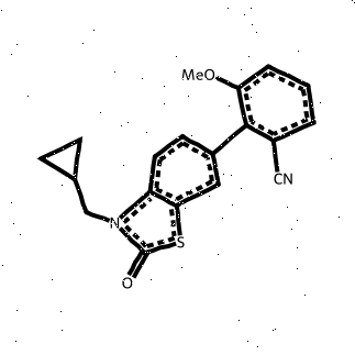 COc1cccc(C#N)c1-c1ccc2c(c1)sc(=O)n2CC1CC1